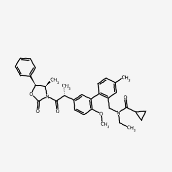 CCN(Cc1cc(C)ccc1-c1cc([C@@H](C)C(=O)N2C(=O)O[C@@H](c3ccccc3)[C@H]2C)ccc1OC)C(=O)C1CC1